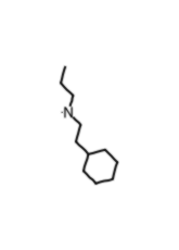 CCC[N]CCC1CCCCC1